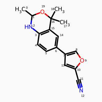 CC1Nc2ccc(-c3coc(C#N)c3)cc2C(C)(C)O1